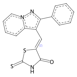 O=C1NC(=S)S/C1=C\c1c(-c2ccccc2)nn2ccccc12